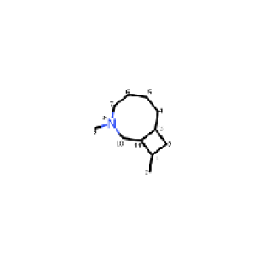 CC1CC2CCCCN(C)CC12